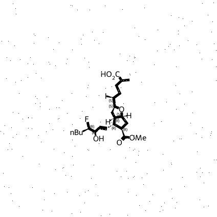 CCCC[C@@H](F)[C@H](O)C=C[C@@H]1[C@H]2C[C@@H]([C@@H](I)CCC(C)C(=O)O)O[C@H]2C[C@H]1C(=O)OC